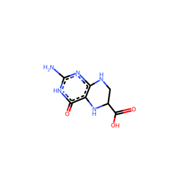 Nc1nc2c(c(=O)[nH]1)NC(C(=O)O)CN2